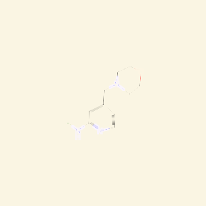 ClNc1cc(CN2CCOCC2)ccn1